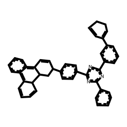 C1=CC2=c3ccccc3=C3C=CC(c4ccc(-c5nc(-c6ccccc6)nc(-c6cccc(C7=CCCC=C7)c6)n5)cc4)CC3C2C=C1